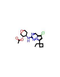 CCC1(c2cc(Cl)c3cnc(N[C@@H]4CCOC[C@H]4OC(C)=O)nn23)CCC1